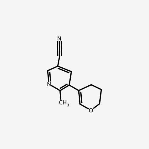 Cc1ncc(C#N)cc1C1=COCCC1